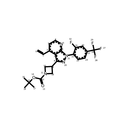 C=Cc1ccnc2c1c(C1CN(C(=O)OC(C)(C)C)C1)nn2-c1ccc(C(F)(F)F)cc1F